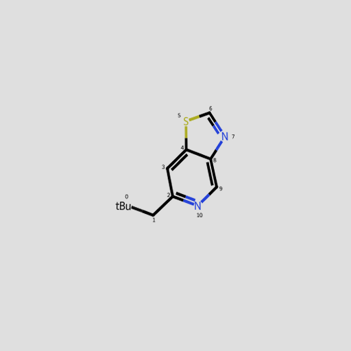 CC(C)(C)Cc1cc2scnc2cn1